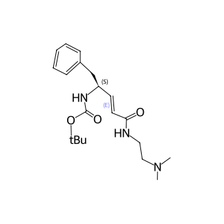 CN(C)CCNC(=O)/C=C/[C@H](Cc1ccccc1)NC(=O)OC(C)(C)C